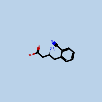 N#Cc1ccccc1C[C@@H](N)CC(=O)O